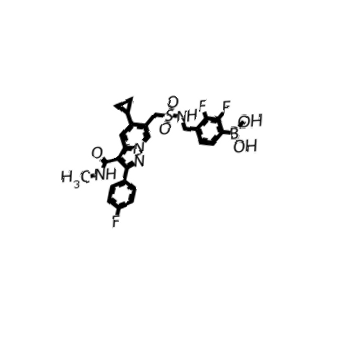 CNC(=O)c1c(-c2ccc(F)cc2)nn2cc(CS(=O)(=O)NCc3ccc(B(O)O)c(F)c3F)c(C3CC3)cc12